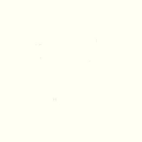 C=Cc1cc(OC)cc(OC(F)(F)F)c1